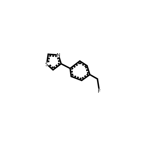 FCc1ccc(-c2cscn2)cc1